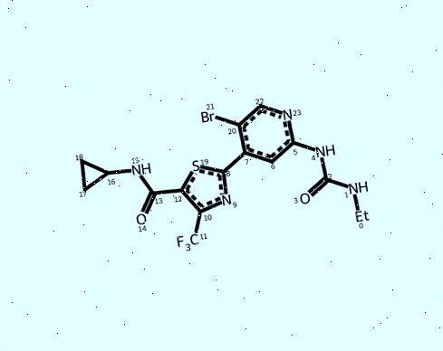 CCNC(=O)Nc1cc(-c2nc(C(F)(F)F)c(C(=O)NC3CC3)s2)c(Br)cn1